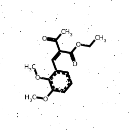 CCOC(=O)C(=Cc1cccc(OC)c1OC)C(C)=O